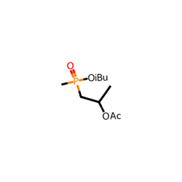 CC(=O)OC(C)CP(C)(=O)OCC(C)C